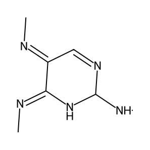 CN=C1C=NC([NH])NC1=NC